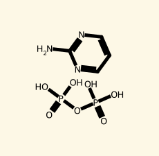 Nc1ncccn1.O=P(O)(O)OP(=O)(O)O